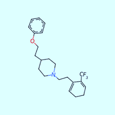 FC(F)(F)C1=CCCC=C1CCN1CCC(CCOc2ccccc2)CC1